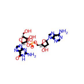 Nc1nc2c(ncn2[C@@H]2O[C@H](CO)[C@@H](O)[C@H]2OP(=O)(O)OC[C@H]2O[C@@H](n3cnc4c(N)ncnc43)C[C@@H]2O)c(=O)[nH]1